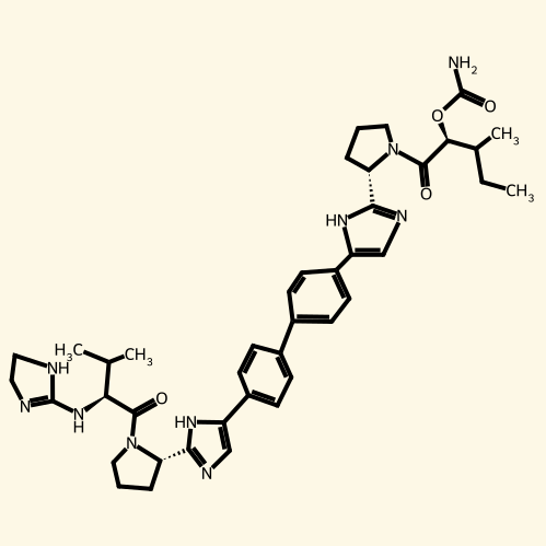 CCC(C)[C@H](OC(N)=O)C(=O)N1CCC[C@H]1c1ncc(-c2ccc(-c3ccc(-c4cnc([C@@H]5CCCN5C(=O)[C@@H](NC5=NCCN5)C(C)C)[nH]4)cc3)cc2)[nH]1